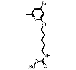 Cc1cc(Br)cc(OCCCCCNC(=O)OC(C)(C)C)n1